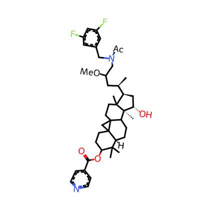 COC(C[C@@H](C)[C@H]1C[C@H](O)[C@@]2(C)C3CC[C@H]4C(C)(C)C(OC(=O)c5ccncc5)CCC45CC35CCC12C)CN(Cc1cc(F)cc(F)c1)C(C)=O